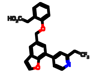 O=C(O)Cc1ccccc1OCc1cc(-c2ccnc(CC(F)(F)F)c2)c2occc2c1